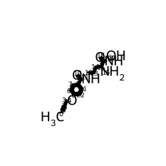 CC#CCOc1ccc(C(=O)NCCC[C@H](N)C(=O)NO)cc1